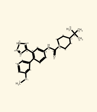 COc1cncc(-c2ccc(NC(=O)N3CCC(C(C)(C)C)CC3)cc2-c2nn[nH]n2)c1